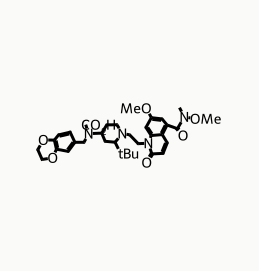 COc1cc(C(=O)N(C)OC)c2ccc(=O)n(CCN3CCC(N(Cc4ccc5c(c4)OCCO5)C(=O)O)CC3C(C)(C)C)c2c1